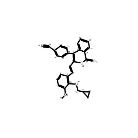 COc1cccc(C=Cc2oc(=O)c3ccccc3c2-c2ccc(C#N)cc2)c1OCC1CC1